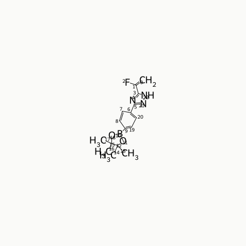 C=C(F)c1nc(-c2ccc(B3OC(C)(C)C(C)(C)O3)cc2)n[nH]1